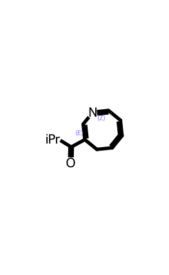 CC(C)C(=O)/C1=C/N=C\C=C=CC1